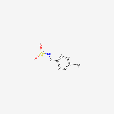 CC(=O)c1ccc(CN[SH](=O)=O)cc1